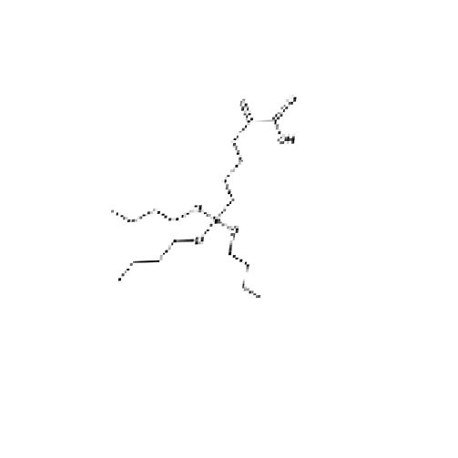 C=C(CCCC[Si](OCCCC)(OCCCC)OCCCC)C(=O)O